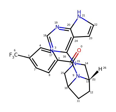 O=C(c1ccc(C(F)(F)F)cc1)N1C2CC[C@H]1CN(c1ncnc3[nH]ccc13)C2